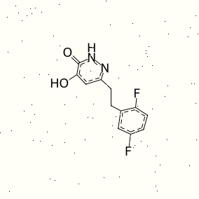 O=c1[nH]nc(CCc2cc(F)ccc2F)cc1O